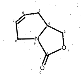 O=C1OCC2CC=CCN12